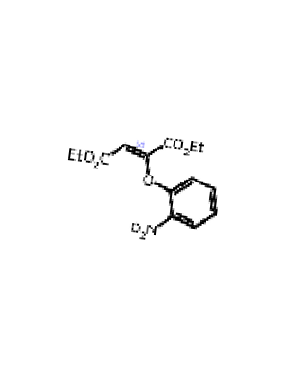 CCOC(=O)/C=C(\Oc1ccccc1[N+](=O)[O-])C(=O)OCC